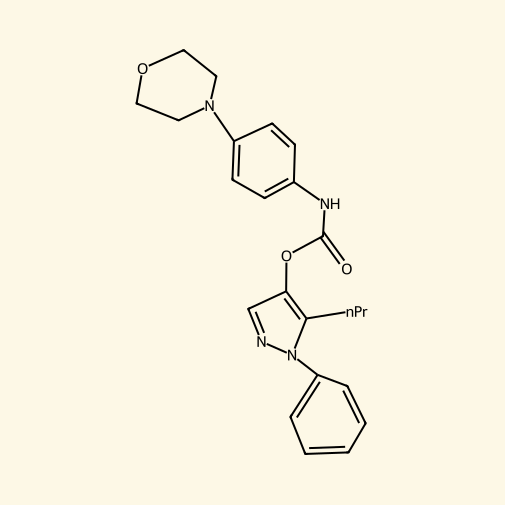 CCCc1c(OC(=O)Nc2ccc(N3CCOCC3)cc2)cnn1-c1ccccc1